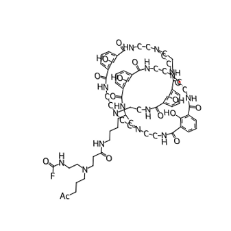 CC(=O)CCCN(CCNC(=O)F)CCC(=O)NCCCCC1CN2CCNC(=O)c3cccc(c3O)C(=O)NCCN(CCNC(=O)c3cccc(c3O)C(=O)N1)CCN1CCNC(=O)c3cccc(c3O)C(=O)NCCN(CCNC(=O)c3cccc(c3O)C(=O)NCC1)CC2